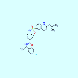 CC(C)CC1CCc2cc(S(=O)(=O)NC3CCC(C(=O)N[C@H](C)c4ccc(F)cc4)CC3)ccc2N1